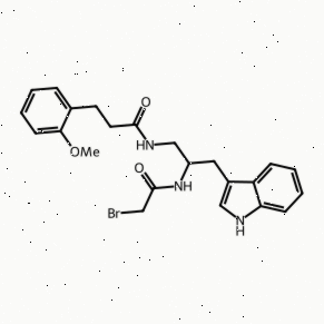 COc1ccccc1CCC(=O)NCC(Cc1c[nH]c2ccccc12)NC(=O)CBr